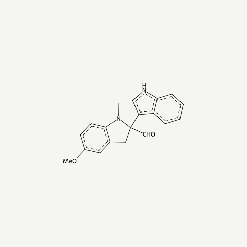 COc1ccc2c(c1)CC(C=O)(c1c[nH]c3ccccc13)N2C